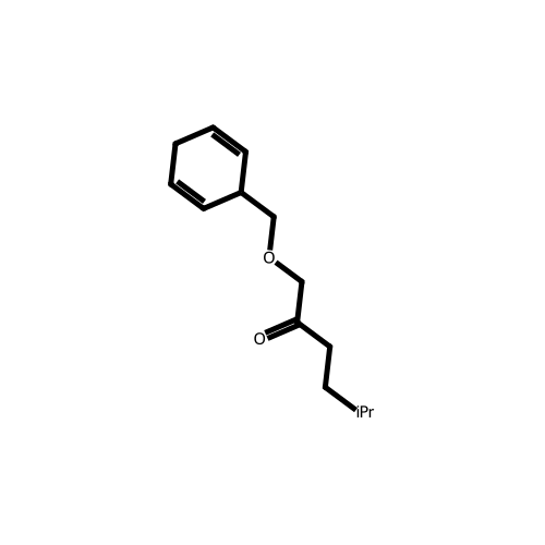 CC(C)CCC(=O)COCC1C=CCC=C1